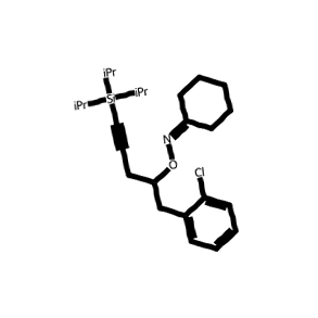 CC(C)[Si](C#CCC(Cc1ccccc1Cl)ON=C1CCCCC1)(C(C)C)C(C)C